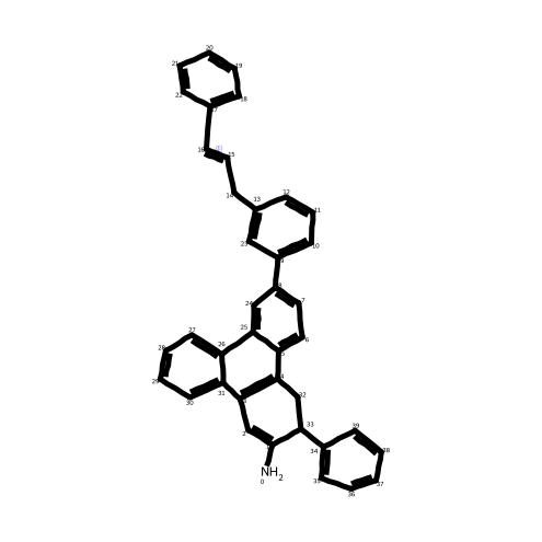 NC1=Cc2c(c3ccc(-c4cccc(C/C=C/c5ccccc5)c4)cc3c3ccccc23)CC1c1ccccc1